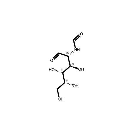 O=CN[C@@H](C=O)[C@@H](O)[C@@H](O)[C@H](O)CO